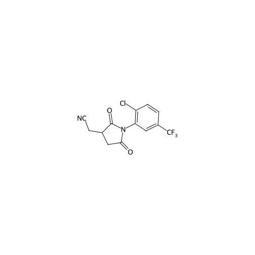 N#CCC1CC(=O)N(c2cc(C(F)(F)F)ccc2Cl)C1=O